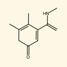 C=C(NC)C1=CC(=O)CC(C)=C1C